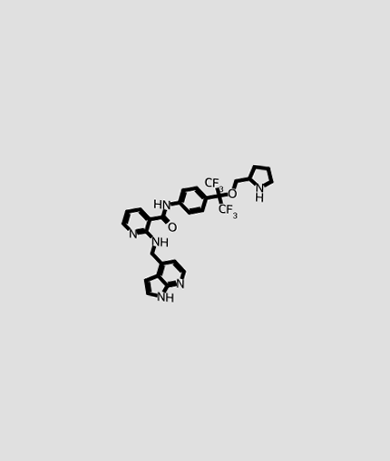 O=C(Nc1ccc(C(OCC2CCCN2)(C(F)(F)F)C(F)(F)F)cc1)c1cccnc1NCc1ccnc2[nH]ccc12